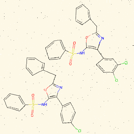 O=S(=O)(Nc1oc(Cc2ccccc2)nc1-c1ccc(Cl)c(Cl)c1)c1ccccc1.O=S(=O)(Nc1oc(Cc2ccccc2)nc1-c1ccc(Cl)cc1)c1ccccc1